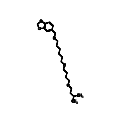 CC(C)CCOCCCCOCCCCCCOCc1ccc2c(c1)OCO2